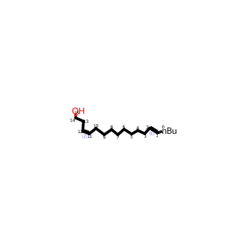 CCCC/C=C/CCCCCCCC/C=C\CCO